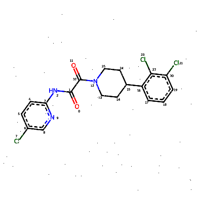 O=C(Nc1ccc(Cl)cn1)C(=O)N1CCC(c2cccc(Cl)c2Cl)CC1